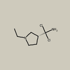 CCN1CC[C@@H](C(N)(Cl)Cl)C1